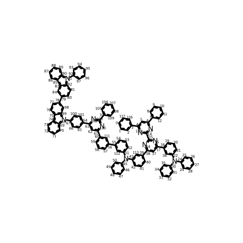 c1ccc(-c2cc(-c3ccccc3)nc(-c3nc(-c4cccc(N(c5ccccc5)c5ccccc5)c4)cc(-c4cccc(N(c5ccccc5)c5cccc(-c6cccc(-c7cc(-c8ccc(-n9c%10ccccc%10c%10ccc(-c%11ccc%12c(c%11)c%11ccccc%11n%12-c%11ccccc%11)cc%109)cc8)nc(-c8ccccc8)n7)c6)c5)c4)n3)n2)cc1